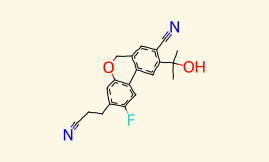 CC(C)(O)c1cc2c(cc1C#N)COc1cc(CCC#N)c(F)cc1-2